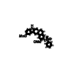 COc1ccc2[nH]c3c(c2c1)CC1c2cc(OC)c(OS(=O)(=O)c4ccccc4)cc2CCN1C3